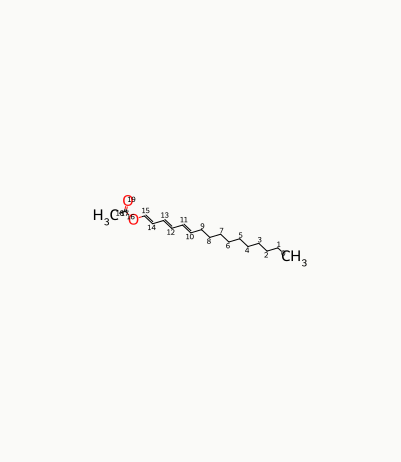 CCCCCCCCCC/C=C/C=C/C=C/OC(C)=O